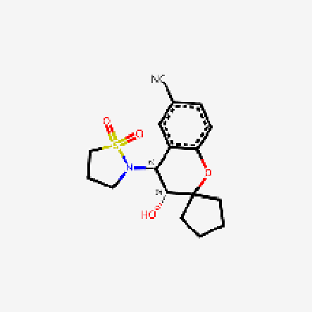 N#Cc1ccc2c(c1)[C@H](N1CCCS1(=O)=O)[C@@H](O)C1(CCCC1)O2